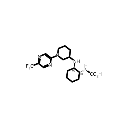 O=C(O)N[C@@H]1CCCC[C@H]1NC1CCCN(c2cnc(C(F)(F)F)cn2)C1